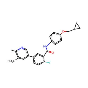 Cc1ncc(-c2ccc(F)c(C(=O)Nc3ccc(OCC4CC4)cc3)c2)cc1C(=O)O